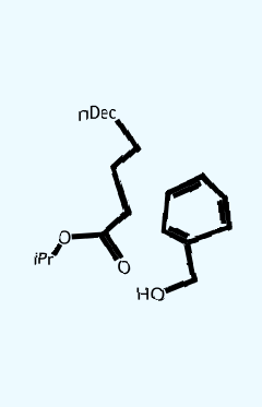 CCCCCCCCCCCCCC(=O)OC(C)C.OCc1ccccc1